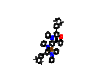 CC1(C)CCC(C)(C)c2cc(-c3cc4c5c(c3)N(c3ccccc3)c3cc6c(cc3B5c3ccccc3O4)[SH]3c4ccccc4N(c4ccccc4)c4cc(-c5ccc7c(c5)C(C)(C)CCC7(C)C)cc(c43)N6c3ccccc3)ccc21